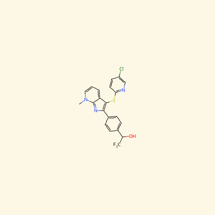 Cn1cccc2c(Sc3ccc(Cl)cn3)c(-c3ccc(C(O)C(F)(F)F)cc3)nc1-2